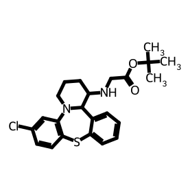 CC(C)(C)OC(=O)CNC1CCCN2c3cc(Cl)ccc3Sc3ccccc3C12